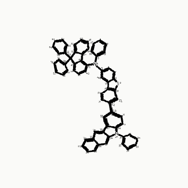 c1ccc(N(c2ccc3sc4cc(-c5ccc6c(c5)c5cc7ccccc7cc5n6-c5ccccc5)ccc4c3c2)c2cccc3c2-c2ccccc2C3(c2ccccc2)c2ccccc2)cc1